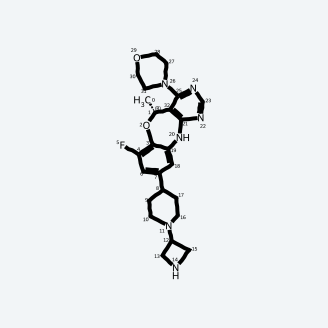 C[C@H]1Oc2c(F)cc(C3CCN(C4CNC4)CC3)cc2Nc2ncnc(N3CCOCC3)c21